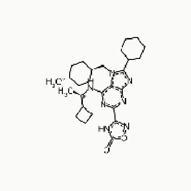 C[C@@H](Nc1nc(-c2noc(=O)[nH]2)nc2nc(C3CCCCC3)n(C[C@H]3CC[C@H](C)CC3)c12)C1CCC1